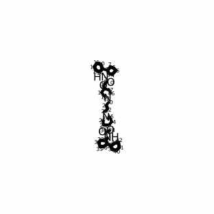 O=C(Nc1ccccc1-c1ccccc1)OC1CCN(C/C=C/CN2CCC(OC(=O)Nc3ccccc3-c3ccccc3)CC2)CC1